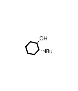 CCC(C)[C@@H]1CCCC[C@@H]1O